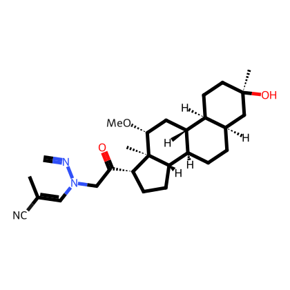 C=NN(/C=C(\C)C#N)CC(=O)[C@H]1CC[C@H]2[C@@H]3CC[C@@H]4C[C@](C)(O)CC[C@@H]4[C@H]3C[C@@H](OC)[C@]12C